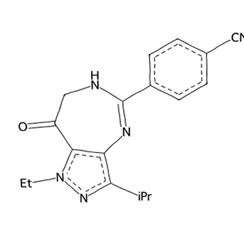 CCn1nc(C(C)C)c2c1C(=O)CNC(c1ccc(C#N)cc1)=N2